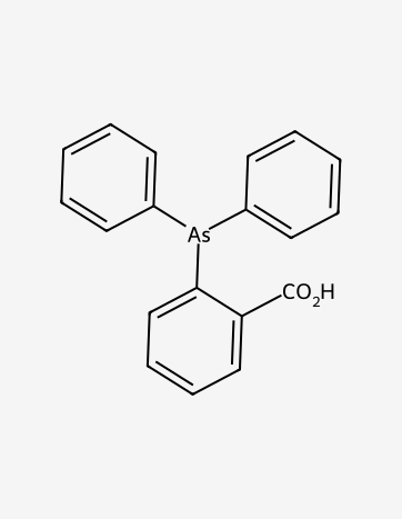 O=C(O)c1ccccc1[As](c1ccccc1)c1ccccc1